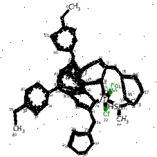 CCc1ccc(-c2cccc3c2C=C(CC2CCCC2)[CH]3[Zr]([Cl])([Cl])([CH]2C(CC3CCCC3)=Cc3c(-c4ccc(CC)cc4)cccc32)[SiH](C)C)cc1